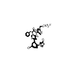 O=C(O)Cn1cc(NC(=O)[C@H](Cc2ccccc2)n2cnc(-c3cc(Cl)ccc3-n3cc(Cl)nn3)cc2=O)cn1